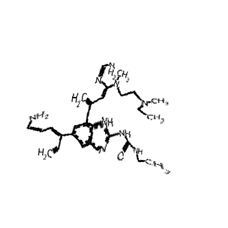 C=C/C(=C\C=C/N)c1cc(C(=C)/C=C(\N=C/N)N(C)CCN(C)CC)c2[nH]c(NC(=O)NCC)nc2c1